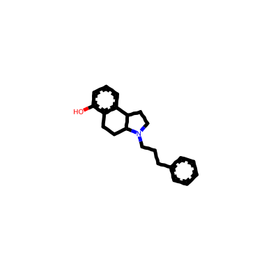 Oc1cccc2c1CCC1C2CCN1CCCc1ccccc1